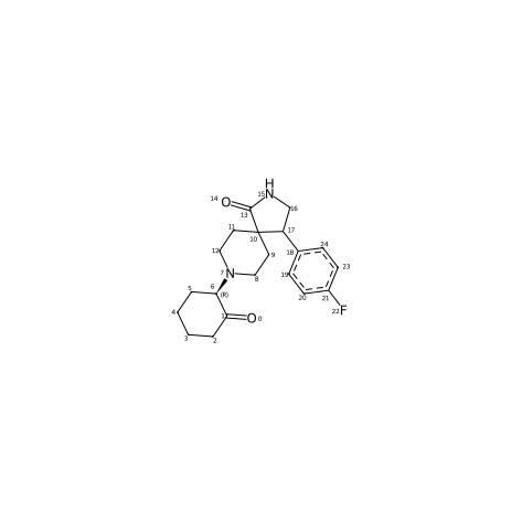 O=C1CCCC[C@H]1N1CCC2(CC1)C(=O)NCC2c1ccc(F)cc1